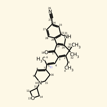 CCC1=C(/C=C(\C)C2=CCN(C3COC3)CC2)C(=O)c2c([nH]c3cc(C#N)ccc23)C1(C)C